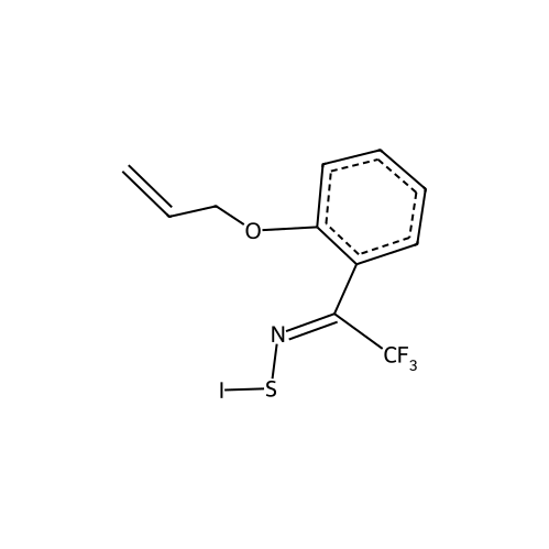 C=CCOc1ccccc1C(=NSI)C(F)(F)F